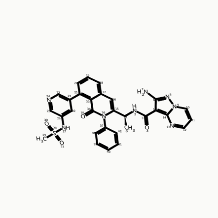 C[C@H](NC(=O)c1c(N)nn2cccnc12)c1cc2cccc(-c3cncc(NS(C)(=O)=O)c3)c2c(=O)n1-c1ccccc1